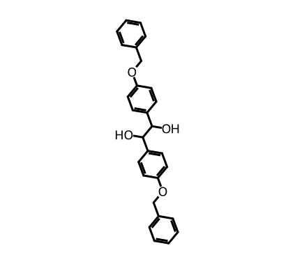 OC(c1ccc(OCc2ccccc2)cc1)C(O)c1ccc(OCc2ccccc2)cc1